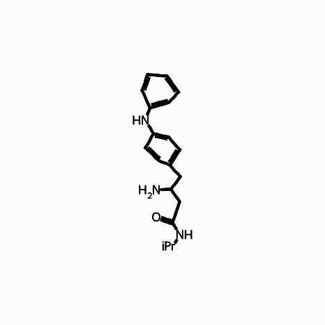 CC(C)NC(=O)CC(N)Cc1ccc(Nc2ccccc2)cc1